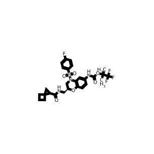 CC(C)(OC(=O)Nc1ccc2c(c1)N(S(=O)(=O)c1ccc(F)cc1)C[C@H](CNC(=O)C1CC13CCC3)O2)C(F)(F)F